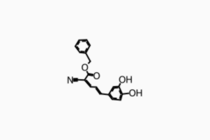 N#CC(=CC=Cc1ccc(O)c(O)c1)C(=O)OCc1ccccc1